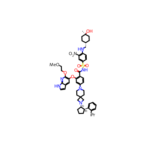 COCCOc1nc2[nH]ccc2cc1Oc1cc(N2CCC3(CC2)CN([C@H]2CCC[C@@H]2c2ccccc2C(C)C)C3)ccc1C(=O)NS(=O)(=O)c1ccc(NC[C@H]2CC[C@](C)(O)CC2)c([N+](=O)[O-])c1